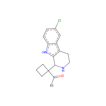 CCC(=O)C1(C2NCCc3c2[nH]c2ccc(Cl)cc32)CCC1